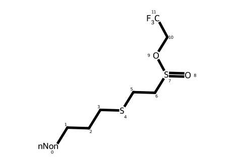 CCCCCCCCCCCCSCCS(=O)OCC(F)(F)F